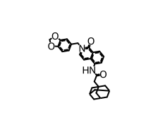 O=C(CC12CC3CC(CC(C3)C1)C2)Nc1cccc2c(=O)n(Cc3ccc4c(c3)OCO4)ccc12